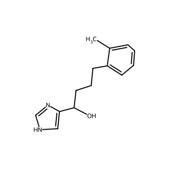 Cc1ccccc1CCCC(O)c1c[nH]cn1